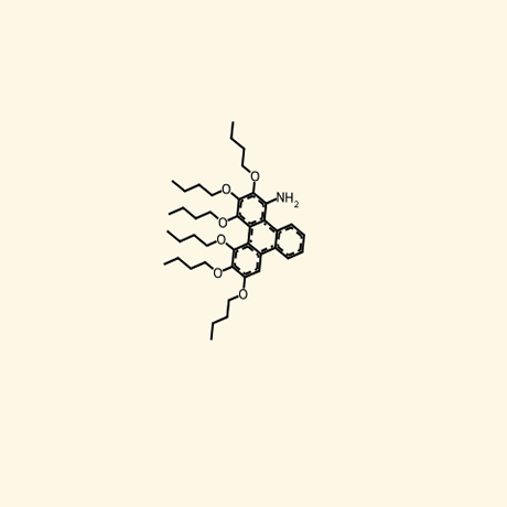 CCCCOc1cc2c3ccccc3c3c(N)c(OCCCC)c(OCCCC)c(OCCCC)c3c2c(OCCCC)c1OCCCC